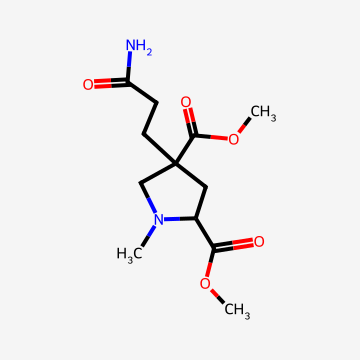 COC(=O)C1CC(CCC(N)=O)(C(=O)OC)CN1C